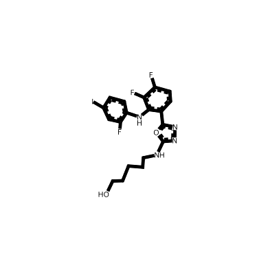 OCCCCCNc1nnc(-c2ccc(F)c(F)c2Nc2ccc(I)cc2F)o1